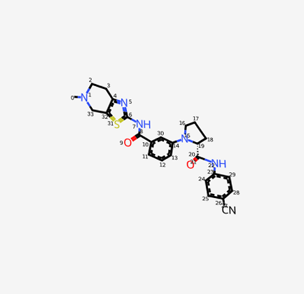 CN1CCc2nc(NC(=O)c3cccc(N4CCC[C@@H]4C(=O)Nc4ccc(C#N)cc4)c3)sc2C1